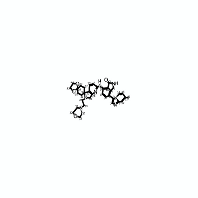 O=C1NCc2c(-c3cnc4cc(F)ccn34)ccc(Nc3ccc4c(n3)CN(CCN3CCOCC3)C43CCC4(CC3)OCCO4)c21